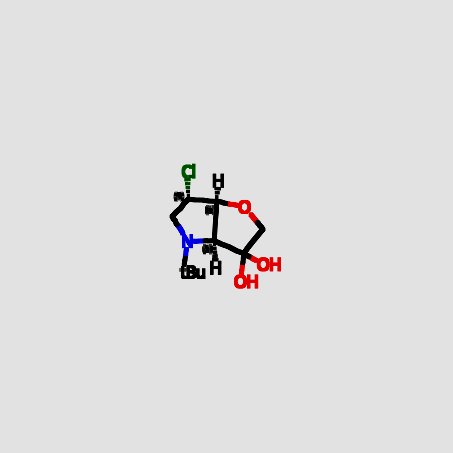 CC(C)(C)N1C[C@H](Cl)[C@H]2OCC(O)(O)[C@H]21